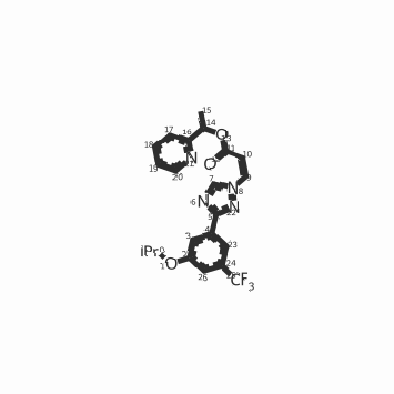 CC(C)Oc1cc(-c2ncn(/C=C\C(=O)OC(C)c3ccccn3)n2)cc(C(F)(F)F)c1